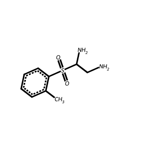 Cc1ccccc1S(=O)(=O)C(N)CN